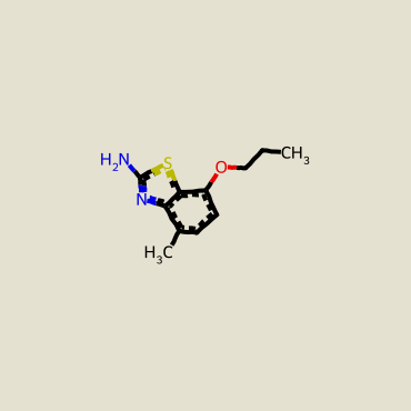 CCCOc1ccc(C)c2nc(N)sc12